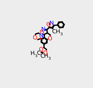 Cc1c(-c2ccccc2)noc1C1=NOC2(N3CCOCC3)c3ccc(C4COC(C)(C)O4)cc3OCC12